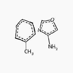 Cc1ccccc1.Nc1cocn1